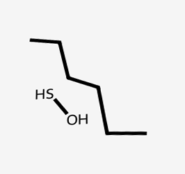 CCCCCC.OS